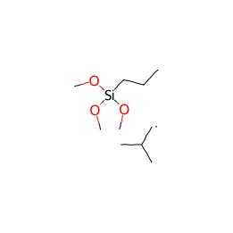 CCC[Si](OC)(OC)OC.[CH2]C(C)C